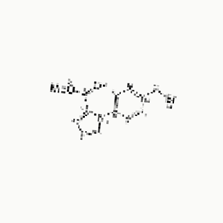 COC(=O)c1cccn1-c1ccc(CBr)cc1